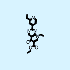 CCOC(=O)c1cn(CC)c2nc(-c3ccnc(CC)c3)ncc2c1=O